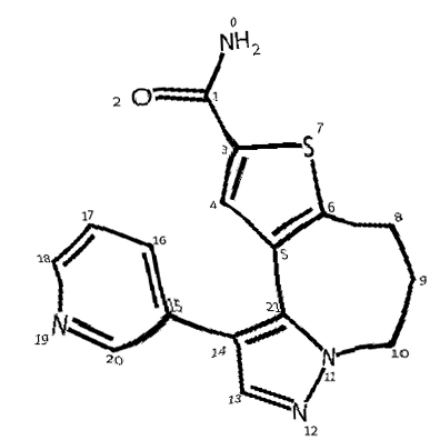 NC(=O)c1cc2c(s1)CCCn1ncc(-c3cccnc3)c1-2